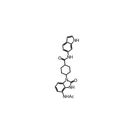 CC(=O)Nc1cccc2c1[nH]c(=O)n2C1CCC(C(=O)Nc2ccc3cc[nH]c3c2)CC1